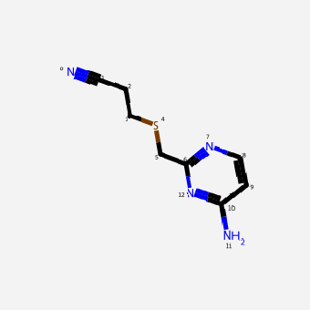 N#CCCSCc1nccc(N)n1